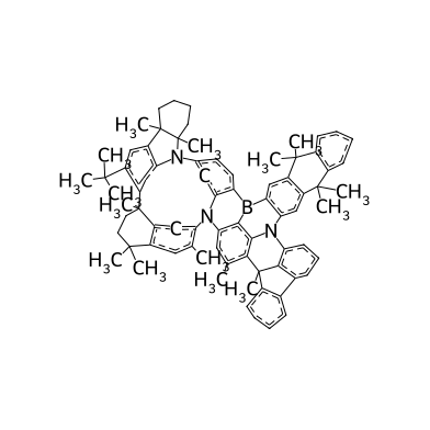 Cc1cc2c3cc1N1c4cc(ccc4B4c5cc6c(cc5N5c7cccc8c7C(C)(c7ccccc7-8)c7c(C)cc1c4c75)C(C)(C)c1ccccc1C6(C)C)N1c4cc(c(C(C)(C)C)cc4C4(C)CCCCC14C)C3(C)CCC2(C)C